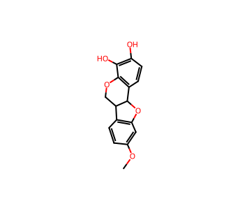 COc1ccc2c(c1)OC1c3ccc(O)c(O)c3OCC21